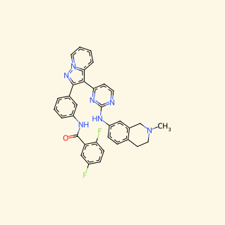 CN1CCc2ccc(Nc3nccc(-c4c(-c5cccc(NC(=O)c6cc(F)ccc6F)c5)nn5ccccc45)n3)cc2C1